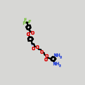 Nc1cc(N)cc(C(=O)OCCOCCOC(=O)/C=C/c2ccc(OC(=O)c3ccc(C(F)(F)F)cc3)cc2)c1